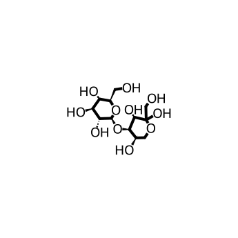 OC[C@H]1O[C@@H](O[C@@H]2[C@H](O)COC(O)(CO)[C@H]2O)[C@H](O)[C@@H](O)[C@@H]1O